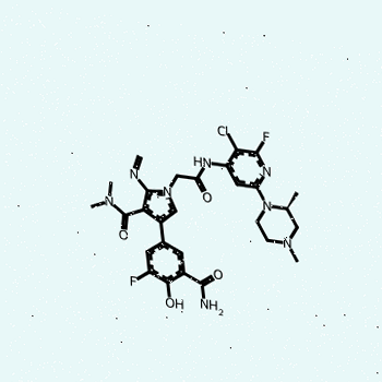 C=Nc1c(C(=O)N(C)C)c(-c2cc(F)c(O)c(C(N)=O)c2)cn1CC(=O)Nc1cc(N2CCN(C)C[C@@H]2C)nc(F)c1Cl